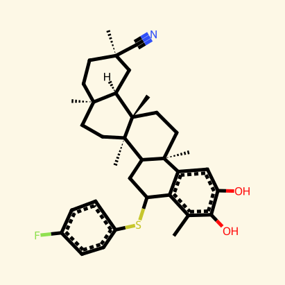 Cc1c(O)c(O)cc2c1C(Sc1ccc(F)cc1)CC1[C@@]2(C)CC[C@@]2(C)[C@@H]3C[C@](C)(C#N)CC[C@]3(C)CC[C@]12C